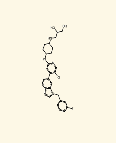 OCC(O)CNC1CCC(Nc2cc(-c3ccc4ncn(Cc5cccc(F)c5)c4c3)c(Cl)cn2)CC1